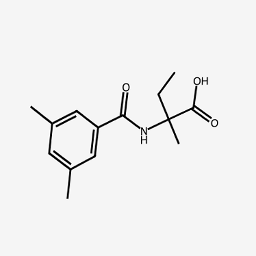 CCC(C)(NC(=O)c1cc(C)cc(C)c1)C(=O)O